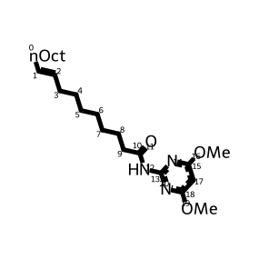 CCCCCCCCC=CCCCCCCCC(=O)Nc1nc(OC)cc(OC)n1